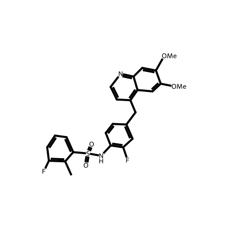 COc1cc2nccc(Cc3ccc(NS(=O)(=O)c4cccc(F)c4C)c(F)c3)c2cc1OC